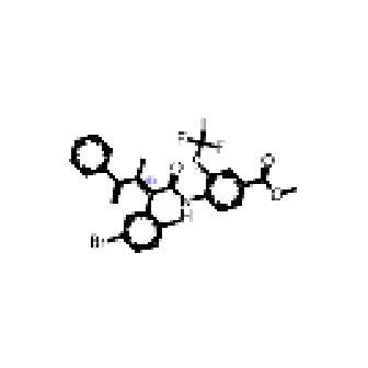 C=C(/C(C)=C(/C(=O)Nc1ccc(C(=O)OC)cc1SC(F)(F)F)c1cc(Br)ccc1C)c1ccccc1